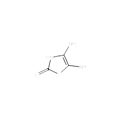 Nc1[nH]c(=O)sc1N